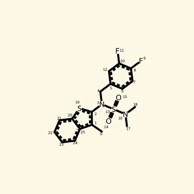 Cc1c(N(Cc2ccc(F)c(F)c2)S(=O)(=O)N(C)C)sc2ccccc12